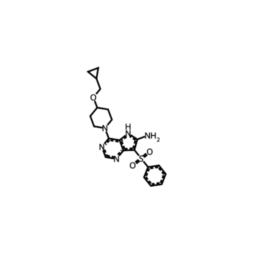 Nc1[nH]c2c(N3CCC(OCC4CC4)CC3)ncnc2c1S(=O)(=O)c1ccccc1